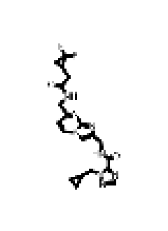 O=C(CC1CC1(F)F)NCc1ccn2cc(CNC(=O)c3ncnn3CC3CC3)nc2n1